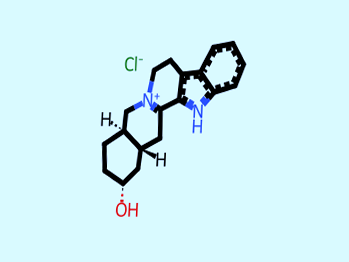 O[C@@H]1CC[C@H]2C[N+]3=C(C[C@@H]2C1)c1[nH]c2ccccc2c1CC3.[Cl-]